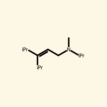 CC(C)C(=CCN(C)C(C)C)C(C)C